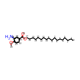 CCCCCCCCCCCCCCCCCCOC(=O)c1ccc(OC)c(N)c1